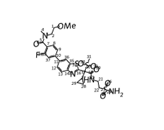 COCCN(C)C(=O)c1ccc(-c2ccc3nc(C(C(=O)NCCS(N)(=O)=O)(C4CC4)S(C)(=O)=O)sc3c2)cc1F